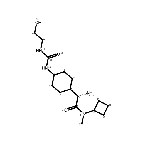 CN(C(=O)[C@@H](N)C1CCC(NC(=O)NCCO)CC1)C1CCC1